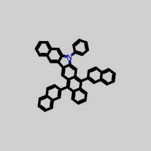 c1ccc(-n2c3cc4ccccc4cc3c3cc4c(-c5ccc6ccccc6c5)c5ccccc5c(-c5ccc6ccccc6c5)c4cc32)cc1